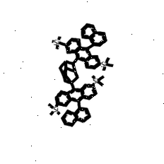 C[Si](C)(C)c1ccc2c(C3C4CC5CC3CC(c3c6ccc([Si](C)(C)C)cc6c(-c6cccc7ccccc67)c6ccc([Si](C)(C)C)cc36)(C5)C4)c3cc([Si](C)(C)C)ccc3c(-c3cccc4ccccc34)c2c1